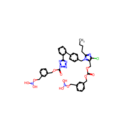 CCCCc1nc(Cl)c(COC(=O)OCc2cccc(CON(O)O)c2)n1Cc1ccc(-c2ccccc2-c2nnn(C(=O)OCc3cccc(CON(O)O)c3)n2)cc1